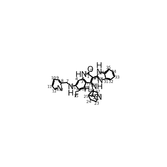 O=c1[nH]c2cc(NCc3ccccn3)c(F)cc2c(N[C@H]2CN3CCC2CC3)c1-c1nc2ccccc2[nH]1